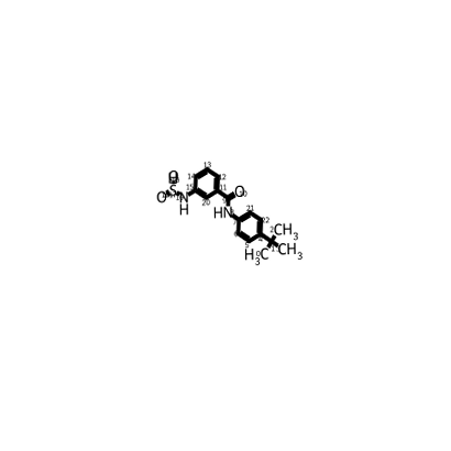 CC(C)(C)c1ccc(NC(=O)c2cccc(N[SH](=O)=O)c2)cc1